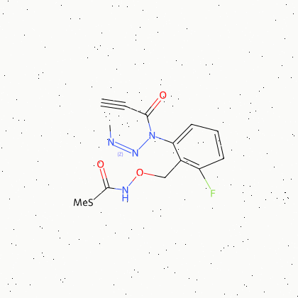 C#CC(=O)N(/N=N\C)c1cccc(F)c1CONC(=O)SC